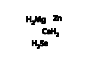 [CaH2].[MgH2].[SeH2].[Zn]